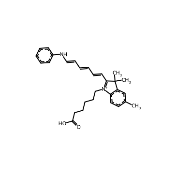 Cc1ccc2c(c1)C(C)(C)C(/C=C/C=C/C=C/Nc1ccccc1)=[N+]2CCCCCC(=O)O